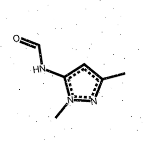 Cc1cc(NC=O)n(C)n1